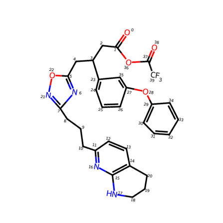 O=C(CC(Cc1nc(CCCc2ccc3c(n2)NCCC3)no1)c1cccc(Oc2ccccc2)c1)OC(=O)C(F)(F)F